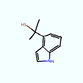 CC(C)(S)c1cccc2[nH]ccc12